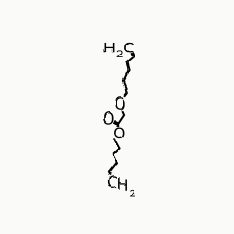 C=CCCCCOCC(=O)OCCCCC=C